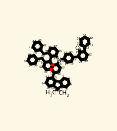 CC1(C)c2ccccc2-c2c(-c3ccc(N(c4ccc(-c5cccc6c5oc5ccccc56)cc4)c4cccc(Cc5ccccc5)c4-c4ccccc4Cc4ccccc4)cc3)cccc21